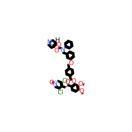 COc1ccc([C@H](Cc2c(Cl)c[n+]([O-])cc2Cl)OC(=O)c2ccc(COc3cccc(CN(C(=O)O[C@H]4CN5CCC4CC5)c4ccccc4)c3)cc2)cc1OC